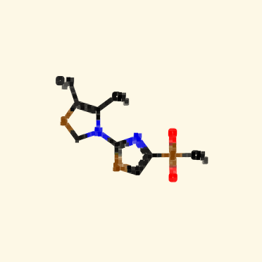 CC1=C([N+](=O)[O-])S[CH]N1c1nc(S(C)(=O)=O)cs1